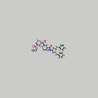 CC(C)(C)OC(=O)N1CCCC(C(=O)N2CCCC(C(=O)NC(CCCc3ccccc3)CCCc3ccccc3)C2)C1